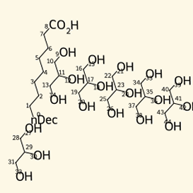 CCCCCCCCCCCCCCCCCC(=O)O.OCC(O)CO.OCC(O)CO.OCC(O)CO.OCC(O)CO.OCC(O)CO.OCC(O)CO